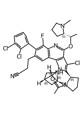 CC(=O)N1CCC[C@@H]1c1c(Cl)c2c(OC(C)[C@@H]3CCCN3C)nc3c(F)c(-c4cccc(Cl)c4Cl)c(CCC#N)cc3c2n1[C@H]1[C@H]2CN[C@@H]1C2